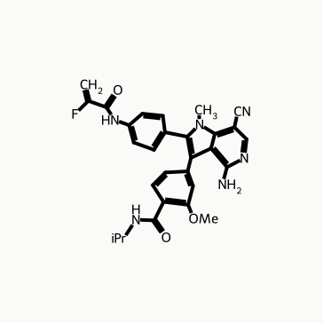 C=C(F)C(=O)Nc1ccc(-c2c(-c3ccc(C(=O)NC(C)C)c(OC)c3)c3c(N)ncc(C#N)c3n2C)cc1